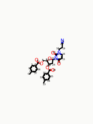 Cc1ccc(C(=O)OC[C@H]2OC(n3c(=O)ccn(CCC#N)c3=O)C[C@@H]2OC(=O)c2ccc(C)cc2)cc1